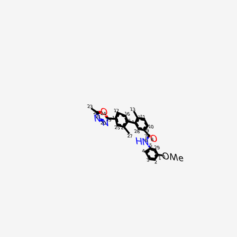 COc1cccc(NC(=O)c2ccc(C)c(-c3ccc(-c4nnc(C)o4)cc3C)c2)c1